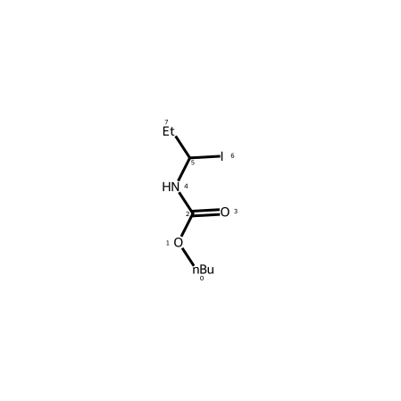 CCCCOC(=O)NC(I)CC